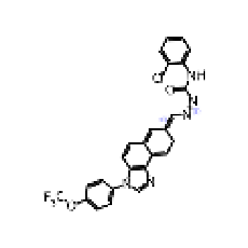 O=C(/N=N\C=C1\C=c2ccc3c(ncn3-c3ccc(OC(F)(F)F)cc3)c2=CC1)Nc1ccccc1Cl